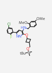 COc1ccc(CNc2cc(-c3cc(Cl)ccc3F)nnc2OC2CC(CO[Si](C)(C)C(C)(C)C)C2)c(OC)c1